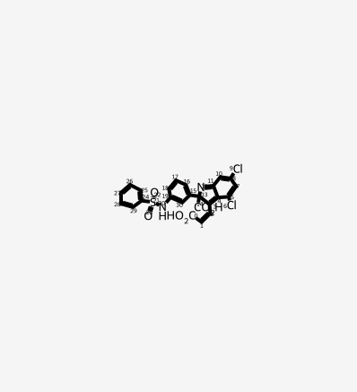 O=C(O)/C=C\C1=c2c(Cl)cc(Cl)cc2=NC1(C(=O)O)c1cccc(NS(=O)(=O)c2ccccc2)c1